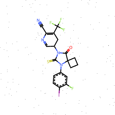 N#CC1=C(C(F)(F)F)CC(N2C(=O)C3(CCC3)N(c3ccc(I)c(F)c3)C2=S)C=N1